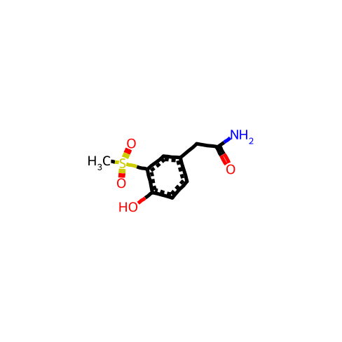 CS(=O)(=O)c1cc(CC(N)=O)ccc1O